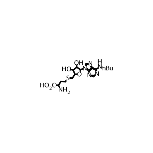 CCCCNc1ncnc2c1ncn2C1OC(CSCCC(N)C(=O)O)C(O)C1O